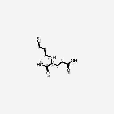 O=C(O)CC[C@H](NCCCCl)C(=O)O